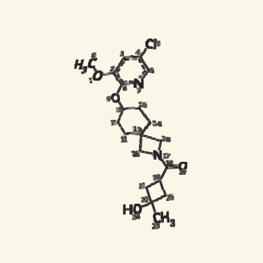 COc1cc(Cl)cnc1OC1CCC2(CC1)CN(C(=O)C1CC(C)(O)C1)C2